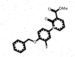 COC(=O)c1cccn(-c2ccc(OCc3ccccc3)c(F)c2)c1=O